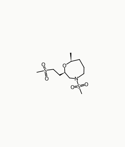 C[C@H]1CCCN(S(C)(=O)=O)C[C@@H](CCS(C)(=O)=O)O1